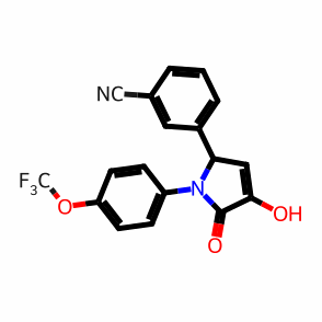 N#Cc1cccc(C2C=C(O)C(=O)N2c2ccc(OC(F)(F)F)cc2)c1